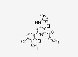 COC(=O)c1nc(-c2ccc(Cl)c(C)c2Cl)cc(NC(C)=O)c1Cl